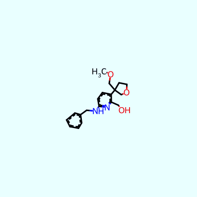 COCC1(c2ccc(NCc3ccccc3)nc2CO)CCOC1